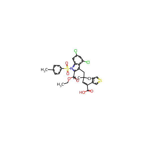 CCOC(=O)c1c(CC(C)(C)/C=C(/C(=O)O)c2ccsc2)c2c(Cl)cc(Cl)cc2n1S(=O)(=O)c1ccc(C)cc1